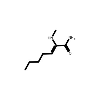 CCCCC=C(NC)C(N)=O